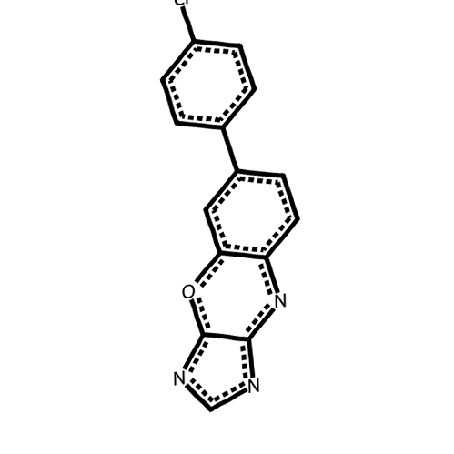 Clc1ccc(-c2ccc3nc4ncnc-4oc3c2)cc1